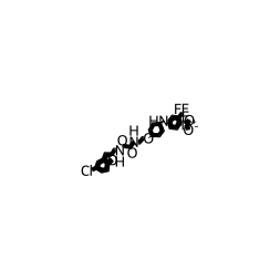 O=C(NCCO[C@H]1CC[C@H](Nc2ccc([N+](=O)[O-])c(C(F)(F)F)c2)CC1)C(=O)NCc1cc2cc(Cl)ccc2o1